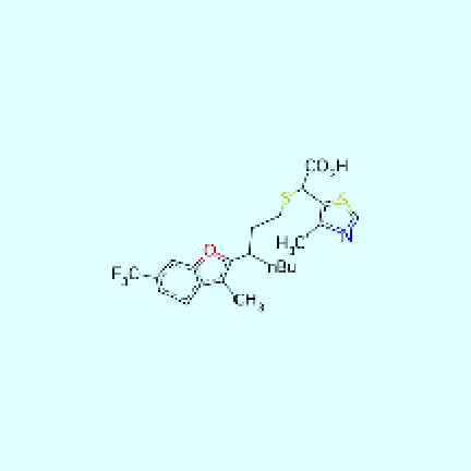 CCCCC(CCSC(C(=O)O)c1scnc1C)c1oc2cc(C(F)(F)F)ccc2c1C